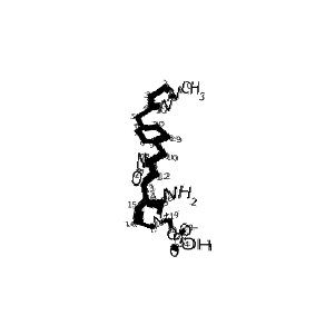 Cn1ccc(Cc2ccc(Cc3cc(-c4ccc[n+](COP(=O)([O-])O)c4N)on3)cc2)n1